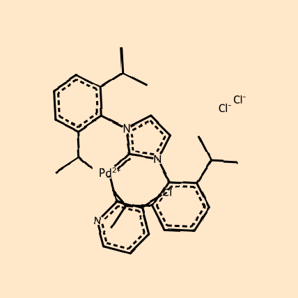 CC(C)c1cccc(C(C)C)c1-n1ccn(-c2c(C(C)C)cccc2C(C)C)[c]1=[Pd+2][c]1ncccc1Cl.[Cl-].[Cl-]